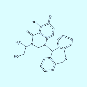 CC(CO)N1CN(C2c3ccccc3CSc3ccccc32)n2ccc(=O)c(O)c2C1=O